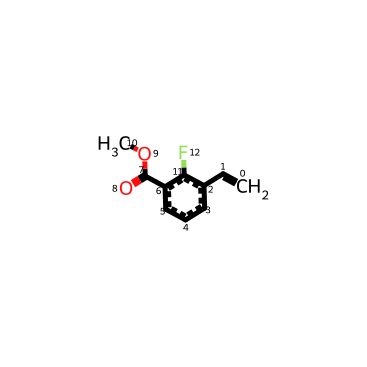 C=Cc1cccc(C(=O)OC)c1F